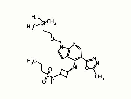 CCCS(=O)(=O)N[C@H]1C[C@@H](Nc2c(-c3nnc(C)o3)cnc3c2ccn3COCC[Si](C)(C)C)C1